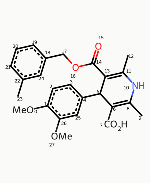 COc1ccc(C2C(C(=O)O)=C(C)NC(C)=C2C(=O)OCc2cccc(C)c2)cc1OC